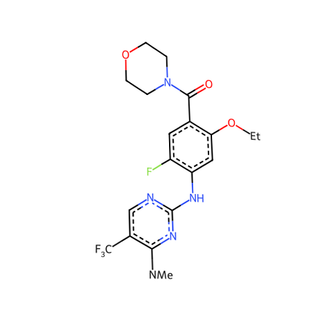 CCOc1cc(Nc2ncc(C(F)(F)F)c(NC)n2)c(F)cc1C(=O)N1CCOCC1